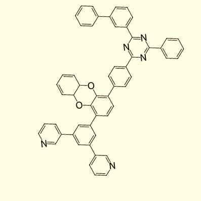 C1=CC2Oc3c(-c4ccc(-c5nc(-c6ccccc6)nc(-c6cccc(-c7ccccc7)c6)n5)cc4)ccc(-c4cc(-c5cccnc5)cc(-c5cccnc5)c4)c3OC2C=C1